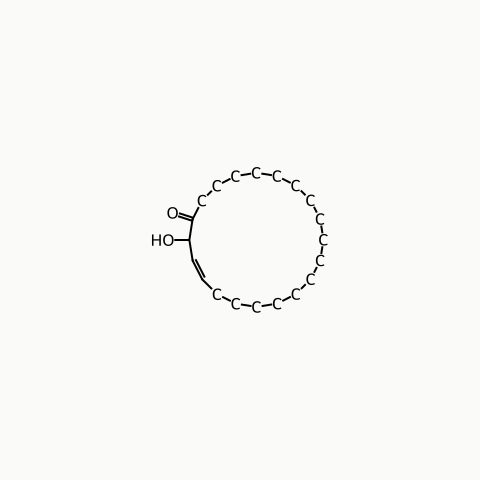 O=C1CCCCCCCCCCCCCCCCC=CC1O